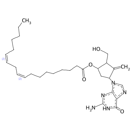 C=C1C(CO)C(OC(=O)CCCCCCC/C=C\C/C=C\CCCCC)CC1n1cnc2c(=O)[nH]c(N)nc21